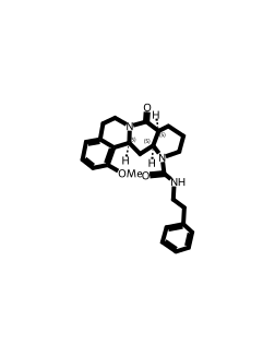 COc1cccc2c1[C@@H]1C[C@H]3[C@H](CCCN3C(=O)NCCc3ccccc3)C(=O)N1CC2